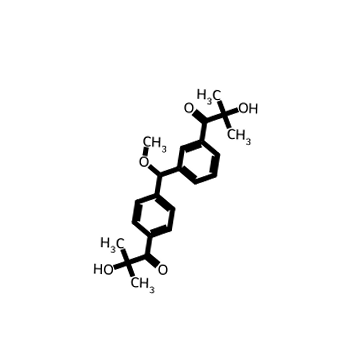 COC(c1ccc(C(=O)C(C)(C)O)cc1)c1cccc(C(=O)C(C)(C)O)c1